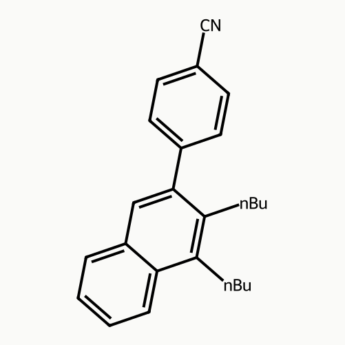 CCCCc1c(-c2ccc(C#N)cc2)cc2ccccc2c1CCCC